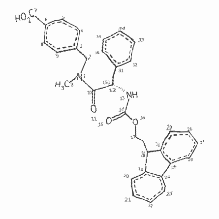 CN(Cc1ccc(C(=O)O)cc1)C(=O)[C@@H](NC(=O)OCC1c2ccccc2-c2ccccc21)c1ccccc1